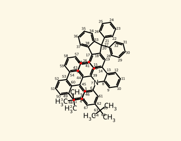 CC(C)(C)c1cc(N(c2ccccc2-c2ccc3c(c2)C(c2ccccc2)(c2ccccc2)c2ccccc2-3)c2ccccc2-c2cccc3cccc(-c4ccccc4)c23)cc(C(C)(C)C)c1